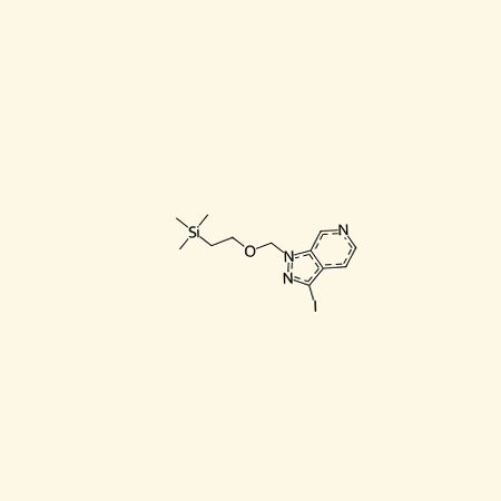 C[Si](C)(C)CCOCn1nc(I)c2ccncc21